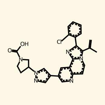 C=C(C)c1c(-c2ccccc2Cl)nc2c3cc(-c4cnn(C5CCN(C(=O)O)C5)c4)cnc3ccn12